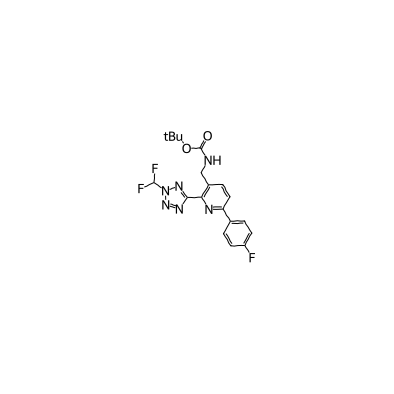 CC(C)(C)OC(=O)NCc1ccc(-c2ccc(F)cc2)nc1-c1nnn(C(F)F)n1